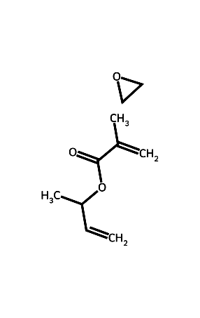 C1CO1.C=CC(C)OC(=O)C(=C)C